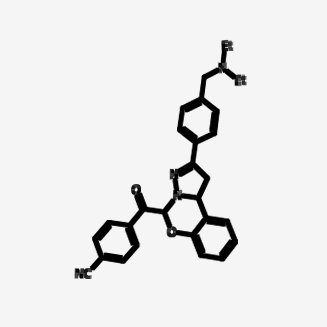 CCN(CC)Cc1ccc(C2=NN3C(C(=O)c4ccc(C#N)cc4)Oc4ccccc4C3C2)cc1